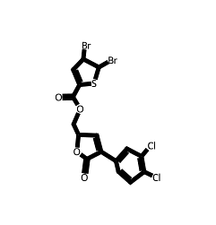 O=C(OCC1C=C(c2ccc(Cl)c(Cl)c2)C(=O)O1)C1=CC(Br)C(Br)S1